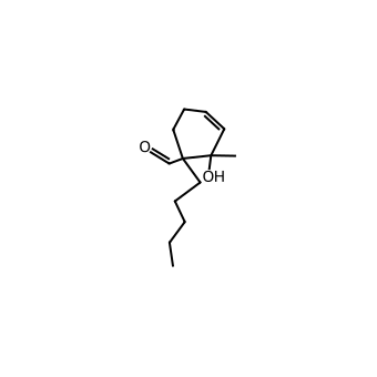 CCCCCC1(C=O)CCC=CC1(C)O